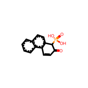 O=C1C=Cc2c(ccc3ccccc23)C1P(=O)(O)O